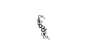 C=CCOC(=O)Oc1ccc(-c2ccc(OC(=O)C=C)c(F)c2F)cc1